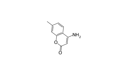 Cc1ccc2c(N)cc(=O)oc2c1